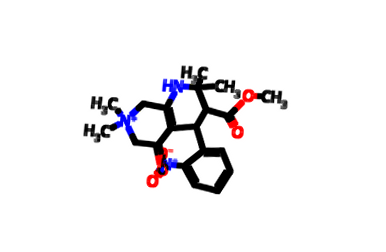 COC(=O)C1C(c2ccccc2[N+](=O)[O-])C2=C(C[N+](C)(C)CC2=O)NC1(C)C